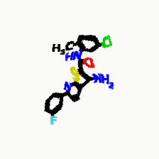 Cc1ccc(Cl)cc1NC(=O)c1sc2nc(-c3cccc(F)c3)ccc2c1N